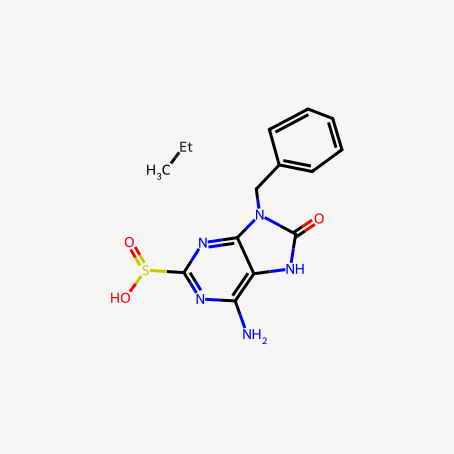 CCC.Nc1nc(S(=O)O)nc2c1[nH]c(=O)n2Cc1ccccc1